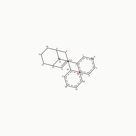 C1=C(c2cccnc2)CC2CCCC1N2Cc1ccccc1